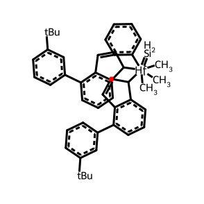 CC(C)(C)c1cccc(-c2cccc3c2C=C[CH]3[Hf]([CH3])([CH3])([CH3])(=[SiH2])([c]2ccccc2)[CH]2C=Cc3c(-c4cccc(C(C)(C)C)c4)cccc32)c1